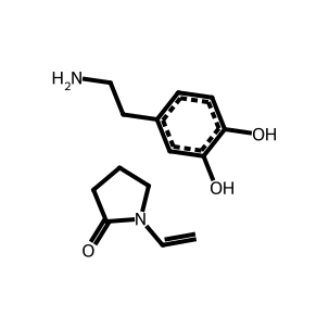 C=CN1CCCC1=O.NCCc1ccc(O)c(O)c1